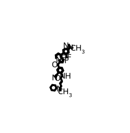 CN(C/C=C/C(=O)Nc1ccc(C(=O)c2ccc3c(-c4cc5ncn(C)c5cc4C(F)(F)F)cccn23)cc1C#N)C1CCCCC1